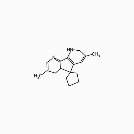 CC1=CC2=C(NC1)C1=NC=C(C)CC1C21CCCC1